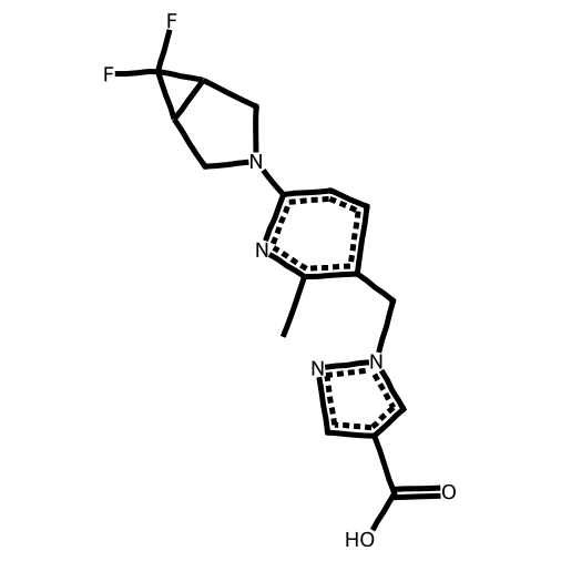 Cc1nc(N2CC3C(C2)C3(F)F)ccc1Cn1cc(C(=O)O)cn1